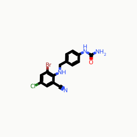 N#Cc1cc(Cl)cc(Br)c1NCc1ccc(NC(N)=O)cc1